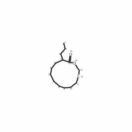 CCCC1CCCCCCCCCCOC1=O